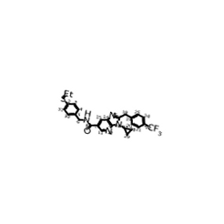 CCSc1ccc(CNC(=O)c2cnc3c(c2)nc(Cc2ccc(C(F)(F)F)cc2)n3C2CC2)cc1